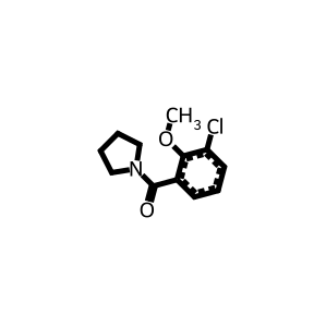 COc1c(Cl)cccc1C(=O)N1CCCC1